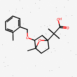 Cc1ccccc1COC1CC2(C(C)(C)C(=O)O)CCC1(C)O2